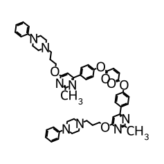 Cc1nc(OCCCN2CCN(c3ccccc3)CC2)cc(-c2ccc(OC(=O)/C=C\C(=O)Oc3ccc(-c4cc(OCCCN5CCN(c6ccccc6)CC5)nc(C)n4)cc3)cc2)n1